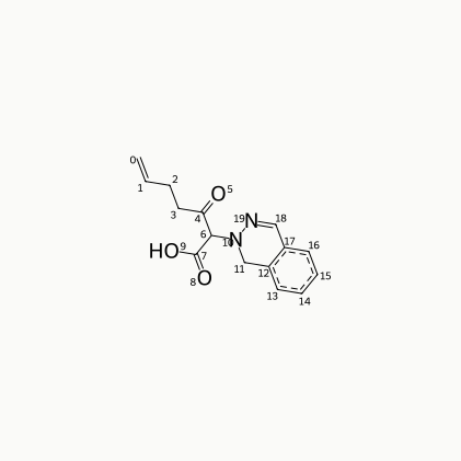 C=CCCC(=O)C(C(=O)O)N1Cc2ccccc2C=N1